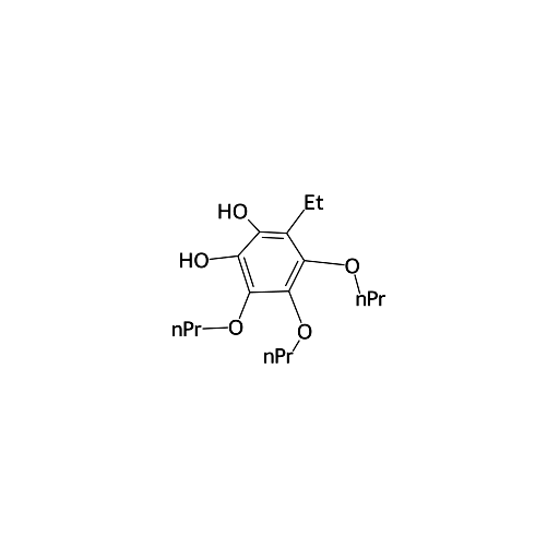 CCCOc1c(O)c(O)c(CC)c(OCCC)c1OCCC